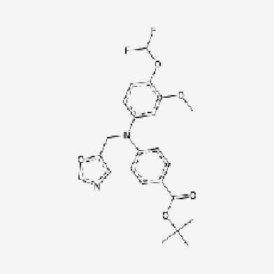 COc1cc(N(Cc2cnco2)c2ccc(C(=O)OC(C)(C)C)cc2)ccc1OC(F)F